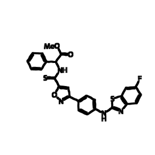 COC(=O)C(NC(=S)c1cc(-c2ccc(Nc3nc4ccc(F)cc4s3)cc2)no1)c1ccccc1